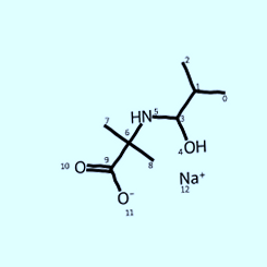 CC(C)C(O)NC(C)(C)C(=O)[O-].[Na+]